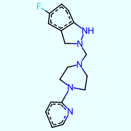 Fc1ccc2c(c1)CN(CN1CCN(c3ccccn3)CC1)N2